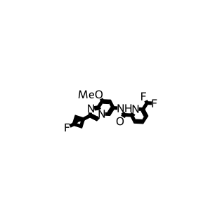 COc1cc(NC(=O)c2cccc(C(F)F)n2)cn2cc(C34CC(F)(C3)C4)nc12